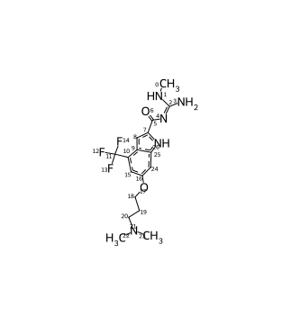 CNC(N)=NC(=O)c1cc2c(C(F)(F)F)cc(OCCCN(C)C)cc2[nH]1